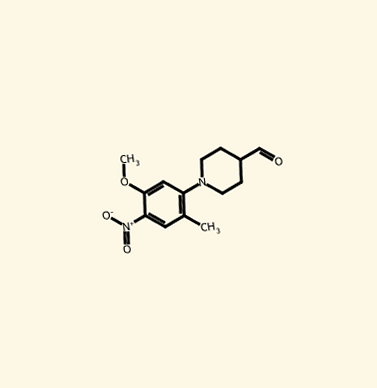 COc1cc(N2CCC(C=O)CC2)c(C)cc1[N+](=O)[O-]